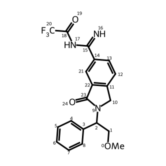 COCC(c1ccccc1)N1Cc2ccc(C(=N)NC(=O)C(F)(F)F)cc2C1=O